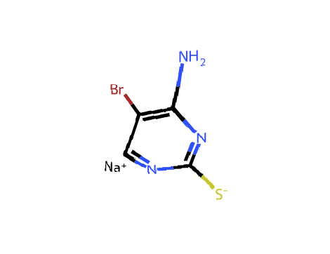 Nc1nc([S-])ncc1Br.[Na+]